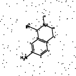 CC(C)C1c2cc(N)ccc2CCN1C